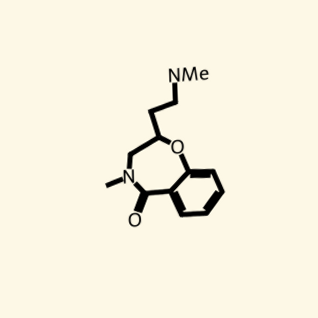 CNCCC1CN(C)C(=O)c2ccccc2O1